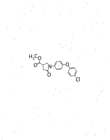 COC(=O)C1CC(=O)N(c2ccc(Oc3ccc(Cl)cc3)cc2)C1